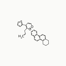 C=CCC1=C(c2cccs2)C=COO1.c1ccc2c(c1)ccc1c3c(ccc12)CCCC3